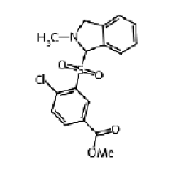 COC(=O)c1ccc(Cl)c(S(=O)(=O)C2c3ccccc3CN2C)c1